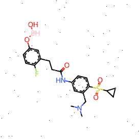 CN(C)Cc1cc(NC(=O)CCc2cc(OBO)ccc2F)ccc1S(=O)(=O)C1CC1